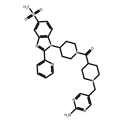 CS(=O)(=O)c1ccc2c(c1)nc(-c1ccccn1)n2C1CCN(C(=O)C2CCN(Cc3cnc(N)nc3)CC2)CC1